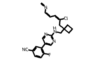 C=N/C=C\C=C(\Cl)CC1(CNc2ncc(-c3cc(C#N)ccc3F)cn2)CCC1